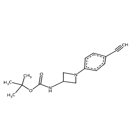 C#Cc1ccc(N2CC(NC(=O)OC(C)(C)C)C2)cc1